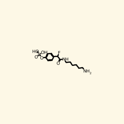 NCCCCCCNC(=O)C(F)c1ccc(OP(=O)(O)O)cc1